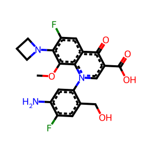 COc1c(N2CCC2)c(F)cc2c(=O)c(C(=O)O)cn(-c3cc(N)c(F)cc3CO)c12